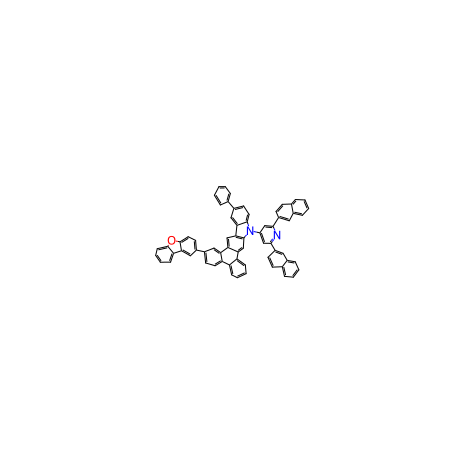 c1ccc(-c2ccc3c(c2)c2cc4c5cc(-c6ccc7oc8ccccc8c7c6)ccc5c5ccccc5c4cc2n3-c2cc(-c3ccc4ccccc4c3)nc(-c3ccc4ccccc4c3)c2)cc1